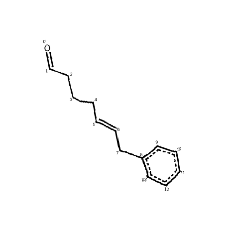 O=CCCCC=CCc1ccccc1